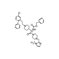 Cn1ccnc1CN1CCN(C(=O)[C@H](NC(=O)OCc2ccccc2)C2CCN(CCc3cc(Cl)ccc3-c3ccccc3)CC2)CC1